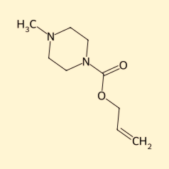 C=CCOC(=O)N1CCN(C)CC1